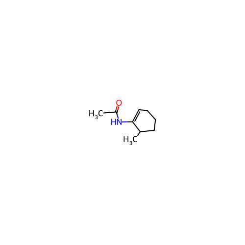 CC(=O)NC1=CCCCC1C